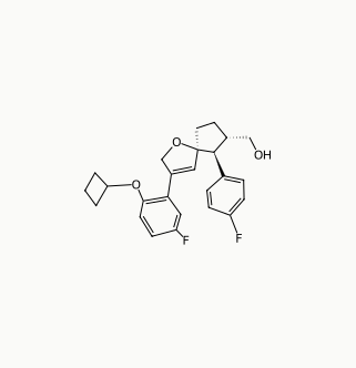 OC[C@H]1CC[C@@]2(C=C(c3cc(F)ccc3OC3CCC3)CO2)[C@@H]1c1ccc(F)cc1